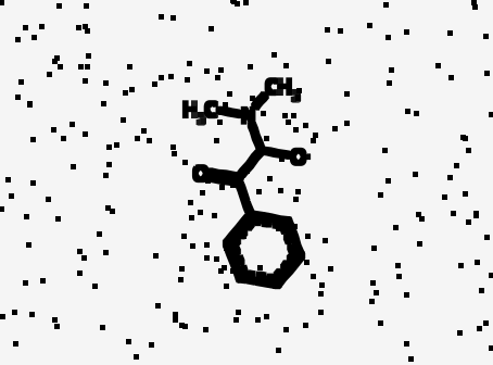 CN(C)C([O])C(=O)c1ccccc1